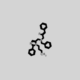 CCCCn1c(CN(CC(F)=Cc2ccccc2)Cc2ccccc2)cnc1-c1ccccc1